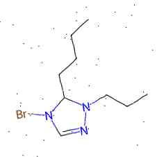 CCCCC1N(Br)C=NN1CCC